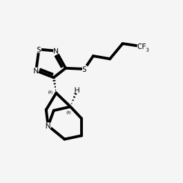 FC(F)(F)CCCSc1nsnc1[C@H]1CN2CCC[C@H]1C2